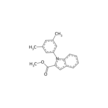 COC(=O)c1cc2ccccc2n1-c1cc(C)cc(C)c1